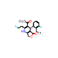 COC(=O)C1=C(CCF)NC2=C(C(=O)OC2)[C@@H]1c1cccc(F)c1CC(F)(F)F